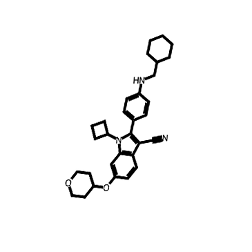 N#Cc1c(-c2ccc(NCC3CCCCC3)cc2)n(C2CCC2)c2cc(OC3CCOCC3)ccc12